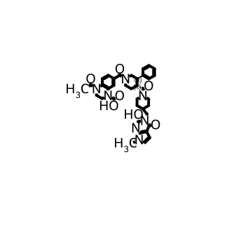 CC(=O)N1CCN(C(=O)O)c2cc(C(=O)N3CC[C@@H](C(=O)N4CCC(O)(Cn5cnc6c(ccn6C)c5=O)CC4)[C@H](c4ccccc4)C3)ccc21